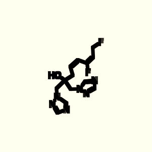 OC(C/C=C\C(F)=C/CF)(Cn1cncn1)Cn1cncn1